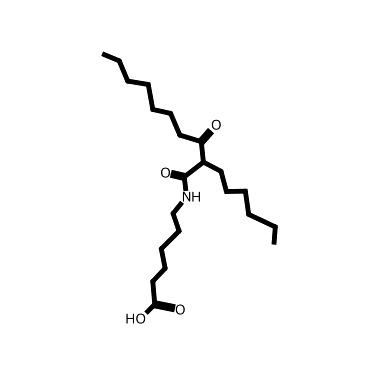 CCCCCCCC(=O)C(CCCCCC)C(=O)NCCCCCC(=O)O